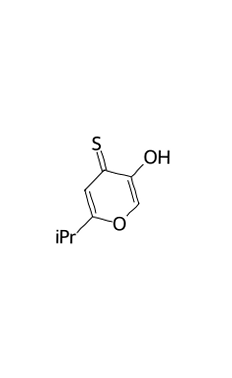 CC(C)c1cc(=S)c(O)co1